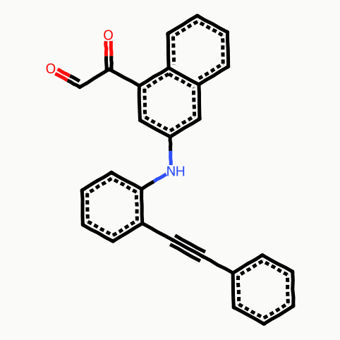 O=CC(=O)c1cc(Nc2ccccc2C#Cc2ccccc2)cc2ccccc12